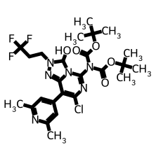 Cc1cc(C2=C(Cl)N=C(N(C(=O)OC(C)(C)C)C(=O)OC(C)(C)C)N3C2=NN(CCC(F)(F)F)C3O)cc(C)n1